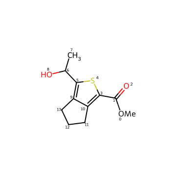 COC(=O)c1sc(C(C)O)c2c1CCC2